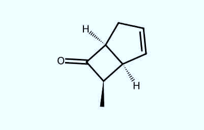 C[C@H]1C(=O)[C@H]2CC=C[C@H]21